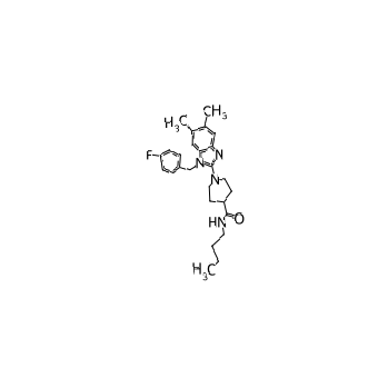 CCCCNC(=O)C1CCN(c2nc3cc(C)c(C)cc3n2Cc2ccc(F)cc2)CC1